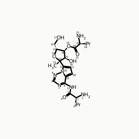 CC(C)[C@H](N)C(=O)Nc1ncnn2c([C@]3(C)O[C@H](CO)[C@@H](OC(=O)[C@@H](N)C(C)C)[C@H]3O)ccc12